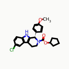 COc1ccc([C@H]2c3[nH]c4ccc(Cl)cc4c3CCN2C(=O)OC2CCCC2)cc1